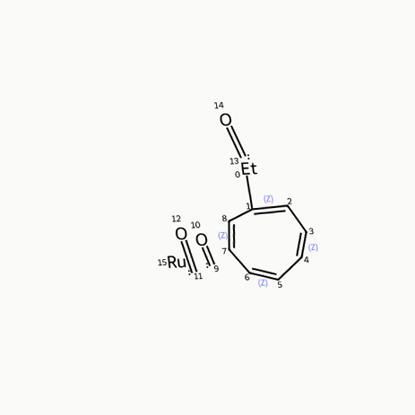 CCC1=C/C=C\C=C/C=C\1.[C]=O.[C]=O.[C]=O.[Ru]